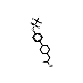 O=C(O)CC1CCC(c2ccc(OS(=O)(=O)C(F)(F)F)cc2)CC1